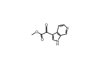 COC(=O)C(=O)c1c[nH]c2cnccc12